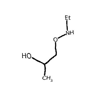 CCNOCC(C)O